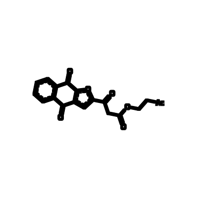 CC(=O)CCOC(=O)CC(=O)c1cc2c(o1)C(=O)c1ccccc1C2=O